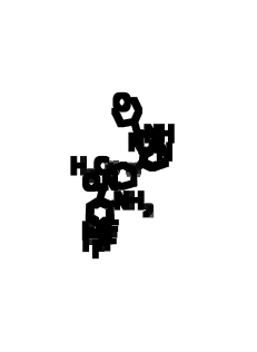 C[C@H]1C[C@@H](c2ccnc3[nH]c(C4CCOCC4)nc23)CCN1C(=O)c1ccc(S(F)(F)(F)(F)F)cc1N